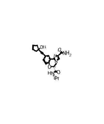 CC(C)NC(=O)[C@H]1Cn2cc(C(N)=O)nc2-c2cc(C#CC3(O)CCCC3)ccc2O1